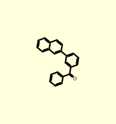 O=C(c1ccccc1)c1cccc(-c2ccc3ccccc3c2)c1